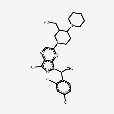 CC(=O)c1nn(C(C)c2ccc(Cl)cc2Cl)c2nc(N3CCC(N4CCCCC4)C(CO)C3)cnc12